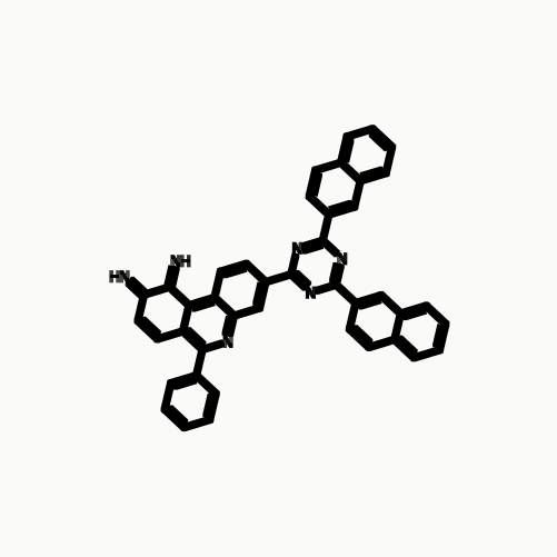 N=C1C=Cc2c(-c3ccccc3)nc3cc(-c4nc(-c5ccc6ccccc6c5)nc(-c5ccc6ccccc6c5)n4)ccc3c2C1=N